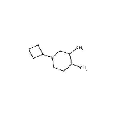 CC1CCN(C2CCC2)CC1C